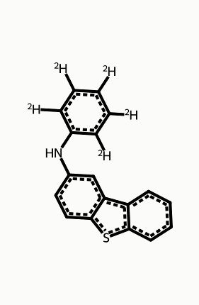 [2H]c1c([2H])c([2H])c(Nc2ccc3sc4ccccc4c3c2)c([2H])c1[2H]